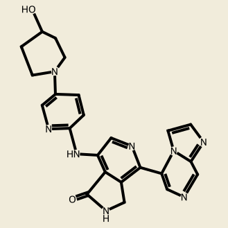 O=C1NCc2c(-c3cncc4nccn34)ncc(Nc3ccc(N4CCC(O)CC4)cn3)c21